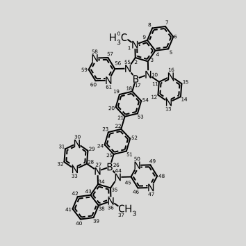 Cn1c2c(c3ccccc31)N(c1cnccn1)B(c1ccc(-c3ccc(B4N(c5cnccn5)c5c(n(C)c6ccccc56)N4c4cnccn4)cc3)cc1)N2c1cnccn1